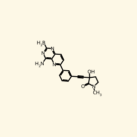 Bc1nc(N)c2nc(-c3cccc(C#CC4(O)CCN(C)C4=O)c3)ccc2n1